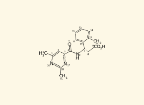 Cc1cc(C(=O)N[C@@H](CC(=O)O)c2ccccc2C)nc(C)n1